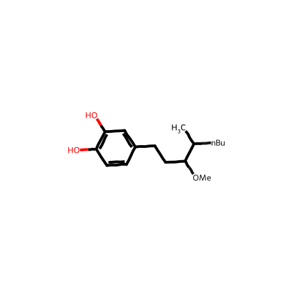 CCCCC(C)C(CCc1ccc(O)c(O)c1)OC